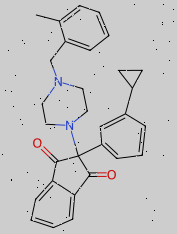 Cc1ccccc1CN1CCN(C2(c3cccc(C4CC4)c3)C(=O)c3ccccc3C2=O)CC1